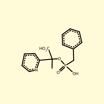 CC(OP(=O)(O)Cc1ccccc1)(C(=O)O)c1ccccn1